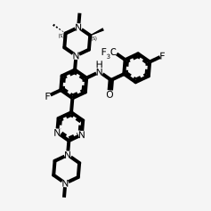 C[C@H]1CN(c2cc(F)c(-c3cnc(N4CCN(C)CC4)nc3)cc2NC(=O)c2ccc(F)cc2C(F)(F)F)C[C@H](C)N1C